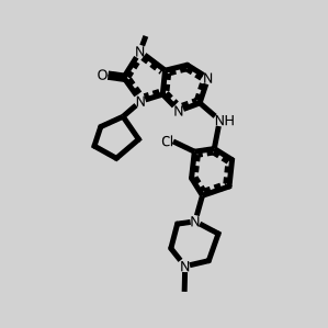 CN1CCN(c2ccc(Nc3ncc4c(n3)n(C3CCCC3)c(=O)n4C)c(Cl)c2)CC1